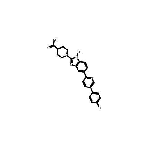 Cn1c(N2CCC(C(N)=O)CC2)nc2cc(-c3ccc(-c4ccc(Cl)cc4)cn3)ccc21